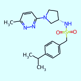 Cc1ccc(N2CC[C@H](NS(=O)(=O)Cc3ccc(C(C)C)cc3)C2)nn1